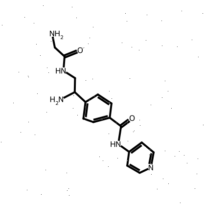 NCC(=O)NCC(N)c1ccc(C(=O)Nc2ccncc2)cc1